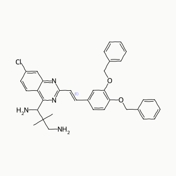 CC(C)(CN)C(N)c1nc(/C=C/c2ccc(OCc3ccccc3)c(OCc3ccccc3)c2)nc2cc(Cl)ccc12